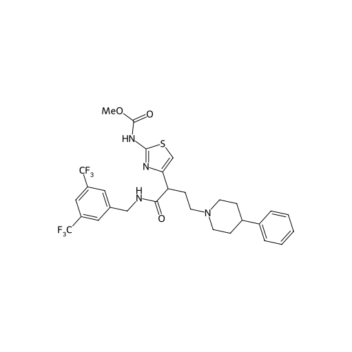 COC(=O)Nc1nc(C(CCN2CCC(c3ccccc3)CC2)C(=O)NCc2cc(C(F)(F)F)cc(C(F)(F)F)c2)cs1